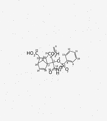 C=CCC(OS(=O)(=O)c1ccccc1)(C([NH])=O)C12C=CC(C1)C(C(=O)O)C2C(=O)O